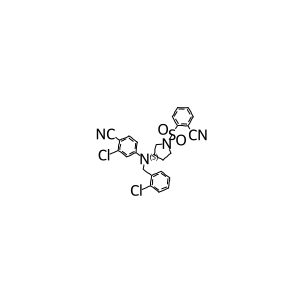 N#Cc1ccc(N(Cc2ccccc2Cl)[C@H]2CCN(S(=O)(=O)c3ccccc3C#N)C2)cc1Cl